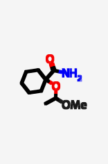 COC(C)OC1(C(N)=O)CCCCC1